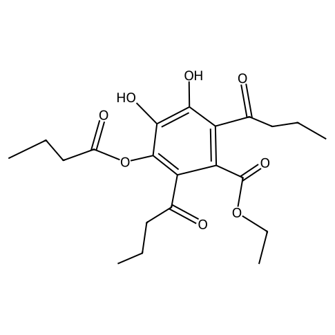 CCCC(=O)Oc1c(O)c(O)c(C(=O)CCC)c(C(=O)OCC)c1C(=O)CCC